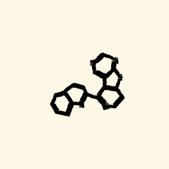 c1ccc2nc(-c3nccc4sc5ncncc5c34)ccc2c1